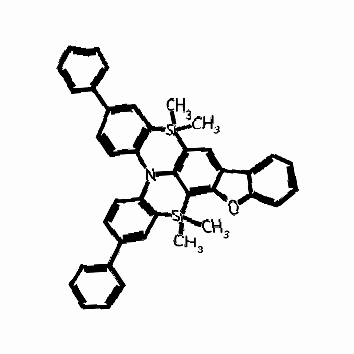 C[Si]1(C)c2cc(-c3ccccc3)ccc2N2c3ccc(-c4ccccc4)cc3[Si](C)(C)c3c2c1cc1c3oc2ccccc21